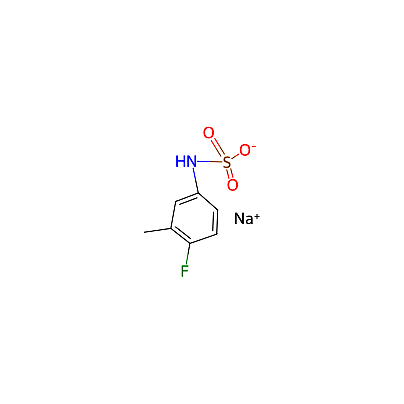 Cc1cc(NS(=O)(=O)[O-])ccc1F.[Na+]